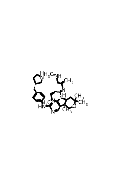 C=C(CNC)/N=C(\C=C/CC)N1c2nc(Nc3ccc(C[C@@H]4CCNC4)cc3)ncc2[C@]2(C)COC(C)(C)C[C@H]12